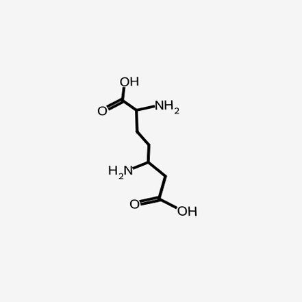 NC(CCC(N)C(=O)O)CC(=O)O